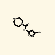 CCC(C)c1cc(NC(=O)N2CCCNCC2)on1